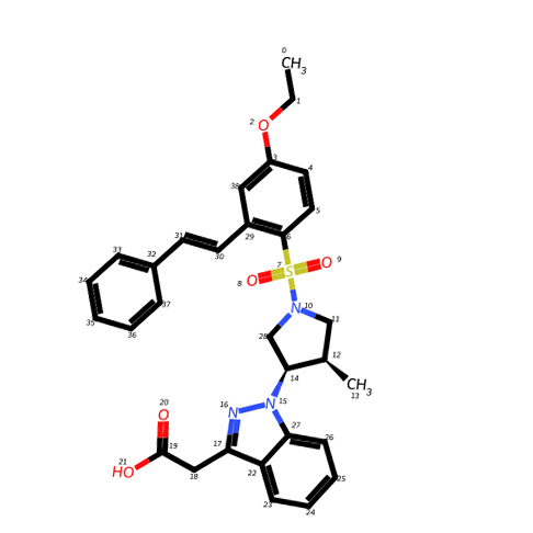 CCOc1ccc(S(=O)(=O)N2C[C@@H](C)[C@@H](n3nc(CC(=O)O)c4ccccc43)C2)c(/C=C/c2ccccc2)c1